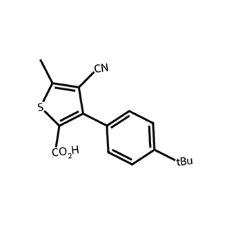 Cc1sc(C(=O)O)c(-c2ccc(C(C)(C)C)cc2)c1C#N